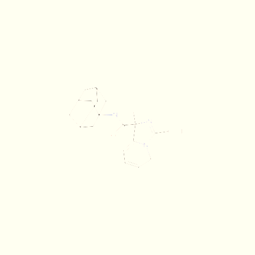 CCC1(C(=O)NC23CC4CC(CC(C4)C2)C3)N=C(C(=O)O)N2CC=CC=C21